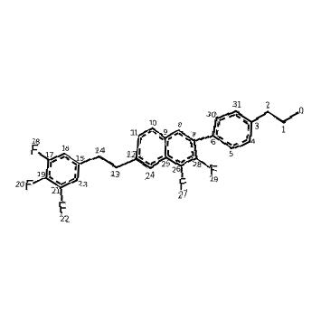 CCCc1ccc(-c2cc3ccc(CCc4cc(F)c(F)c(F)c4)cc3c(F)c2F)cc1